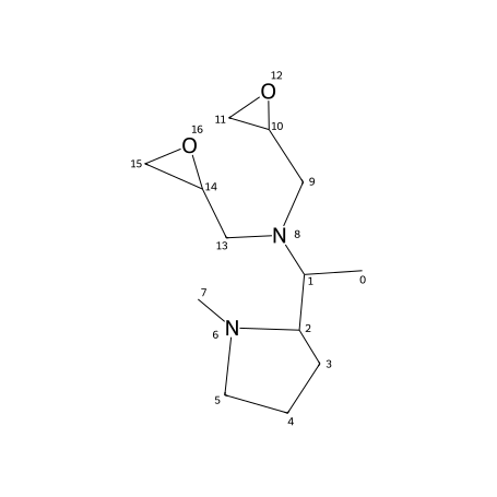 CC(C1CCCN1C)N(CC1CO1)CC1CO1